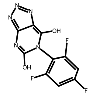 Oc1nc2nnnc-2c(O)n1-c1c(F)cc(F)cc1F